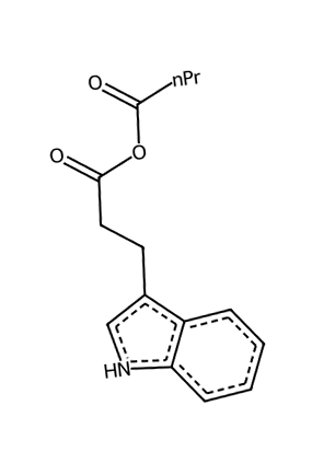 CCCC(=O)OC(=O)CCc1c[nH]c2ccccc12